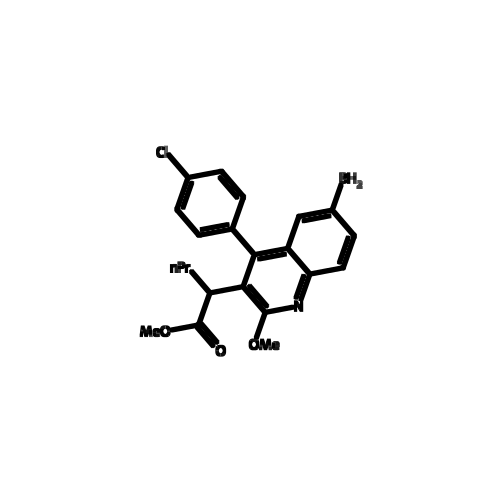 Bc1ccc2nc(OC)c(C(CCC)C(=O)OC)c(-c3ccc(Cl)cc3)c2c1